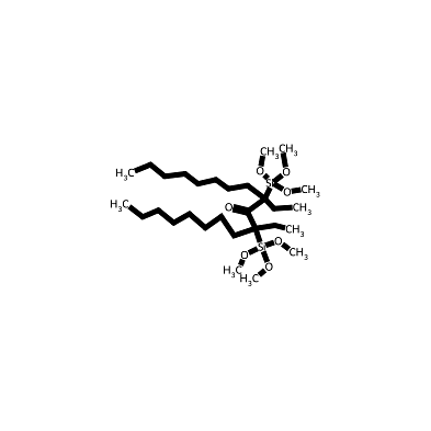 CCCCCCCCC(CC)(C(=O)C(CC)(CCCCCCCC)[Si](OC)(OC)OC)[Si](OC)(OC)OC